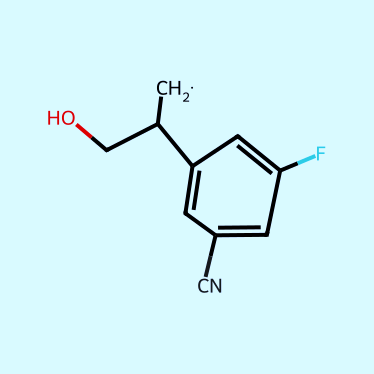 [CH2]C(CO)c1cc(F)cc(C#N)c1